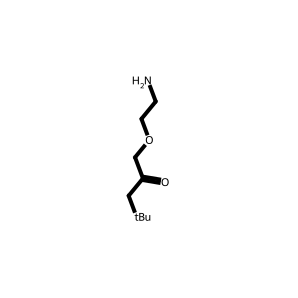 CC(C)(C)CC(=O)COCCN